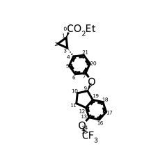 CCOC(=O)[C@@H]1C[C@H]1c1ccc(O[C@@H]2CCc3c(OC(F)(F)F)cccc32)cc1